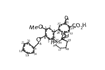 COc1cc2c(cc1OCc1ccccc1)[C@H]1CCCC[C@H]1n1cc(C(=O)O)c(=O)cc1-2